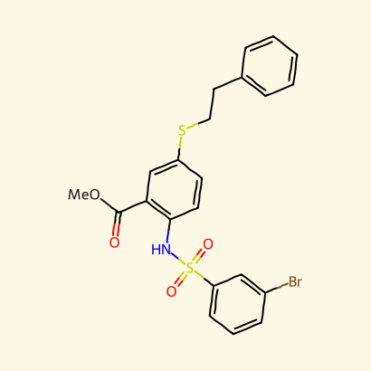 COC(=O)c1cc(SCCc2ccccc2)ccc1NS(=O)(=O)c1cccc(Br)c1